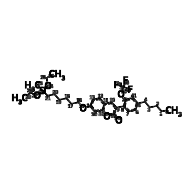 CCCCCc1ccc(-c2cc3ccc(OCCCCCC[Si](C)(OCC)OCC)cc3oc2=O)c(OC(F)(F)F)c1